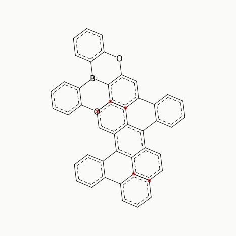 c1ccc(-c2ccccc2-c2c3ccccc3c(-c3ccccc3-c3cc4c5c(c3)Oc3ccccc3B5c3ccccc3O4)c3ccccc23)cc1